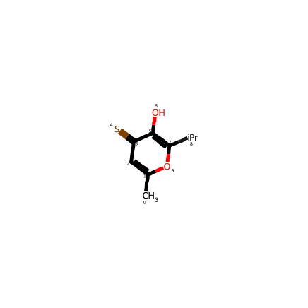 Cc1cc(=S)c(O)c(C(C)C)o1